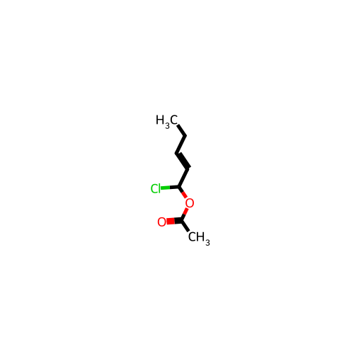 CCC=CC(Cl)OC(C)=O